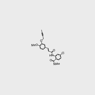 CC#CCOc1cc(/C=C/C(=O)Nc2cc(Cl)ccc2C(=O)NC)ccc1OC